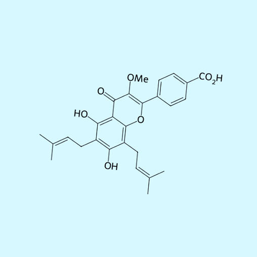 COc1c(-c2ccc(C(=O)O)cc2)oc2c(CC=C(C)C)c(O)c(CC=C(C)C)c(O)c2c1=O